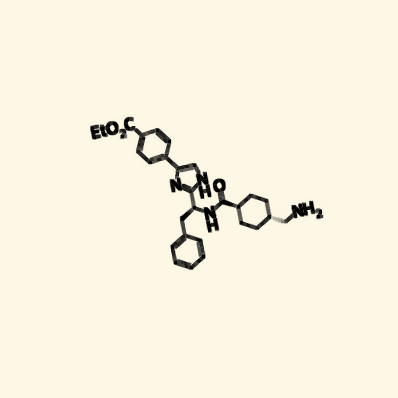 CCOC(=O)c1ccc(-c2c[nH]c([C@H](Cc3ccccc3)NC(=O)[C@H]3CC[C@H](CN)CC3)n2)cc1